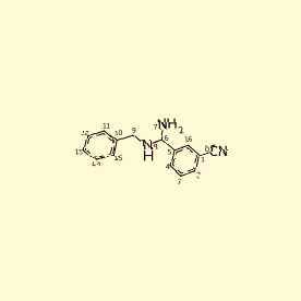 N#Cc1cccc(C(N)NCc2ccccc2)c1